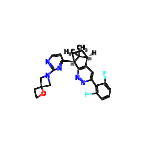 CC1(C)[C@H]2CC[C@@]1(c1ccnc(N3CC4(CCO4)C3)n1)c1nnc(-c3c(F)cccc3F)cc12